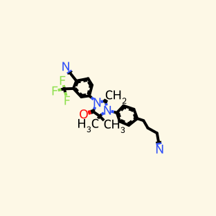 C=C1N(c2ccc(C#N)c(C(F)(F)F)c2)C(=O)C(C)(C)N1c1ccc(CCCC#N)cc1